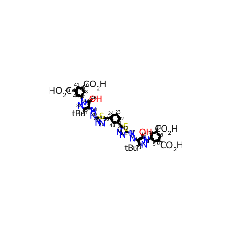 CC(C)(C)c1nn(-c2cc(C(=O)O)cc(C(=O)O)c2)c(O)c1N=Nc1nnc(-c2cccc(-c3nnc(N=Nc4c(C(C)(C)C)nn(-c5cc(C(=O)O)cc(C(=O)O)c5)c4O)s3)c2)s1